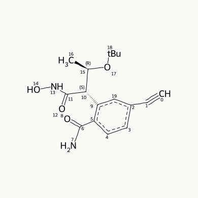 C#Cc1ccc(C(N)=O)c([C@H](C(=O)NO)[C@@H](C)OC(C)(C)C)c1